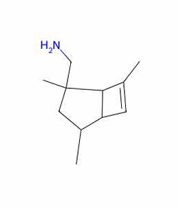 CC1=CC2C(C)CC(C)(CN)C12